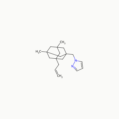 C=CCC12CC3(C)CC(C)(C1)CC(Cn1cccn1)(C3)C2